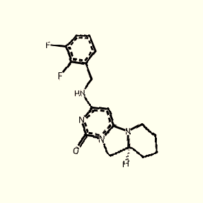 O=c1nc(NCc2cccc(F)c2F)cc2n1C[C@@H]1CCCCN21